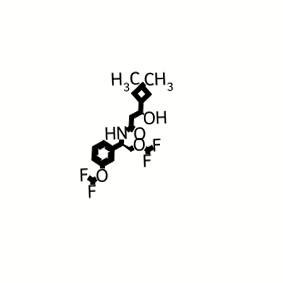 CC1(C)CC([C@H](O)CC(=O)N[C@@H](COC(F)F)c2cccc(OC(F)F)c2)C1